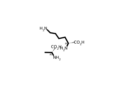 C[C@@H](N)C(=O)O.NCCCC[C@@H](N)C(=O)O